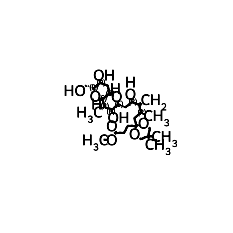 C=C([C@H](C)CC1(CCC(=O)OC)OCC(C)(C)CO1)[C@H](O)C[C@@H]1O[C@H]2C[C@@H](O)[C@@H](CO)O[C@H]2[C@H](C)[C@H]1O